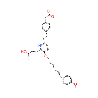 COc1ccc(C=CCCCCOc2ccc(CCc3ccc(CC(=O)O)cc3)nc2CCC(=O)O)cc1